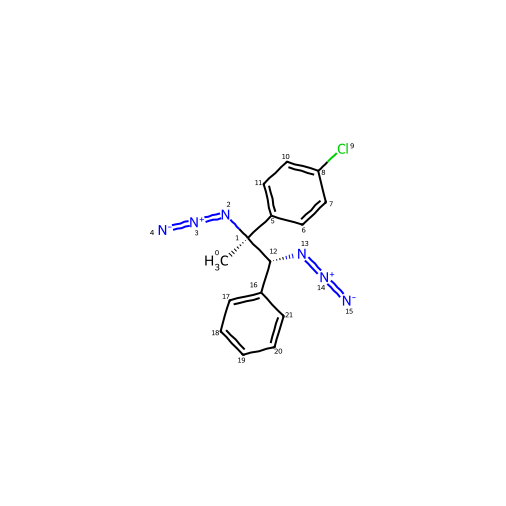 C[C@](N=[N+]=[N-])(c1ccc(Cl)cc1)[C@H](N=[N+]=[N-])c1ccccc1